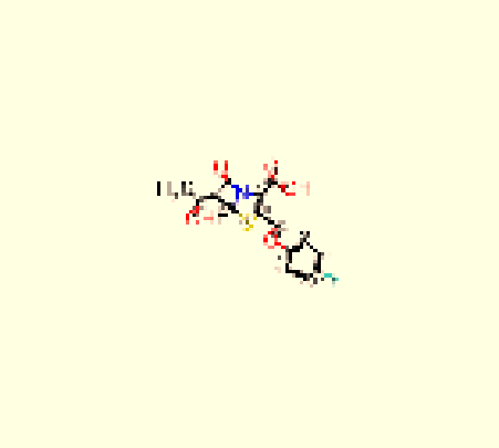 C[C@@H](O)[C@H]1C(=O)N2C(C(=O)O)=C(COc3ccc(F)cc3)S[C@H]12